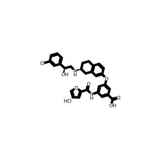 Cl.O=C(O)c1cc(NC(=O)c2ccco2)cc(Oc2ccc3c(c2)C[C@@H](NC[C@@H](O)c2cccc(Cl)c2)CC3)c1